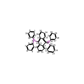 c1ccc(P(c2ccccc2)c2c3ccccc3c(P(c3ccccc3)c3ccccc3)c3ccccc23)cc1